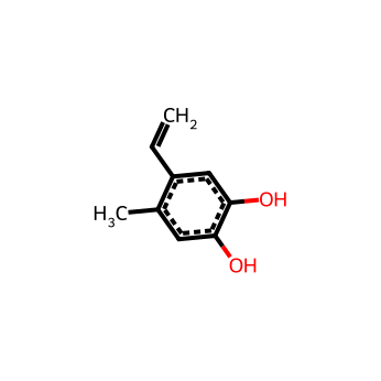 C=Cc1cc(O)c(O)cc1C